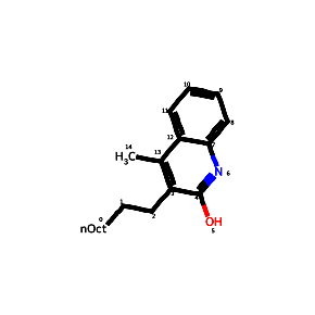 CCCCCCCCCCc1c(O)nc2ccccc2c1C